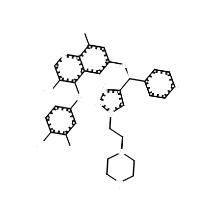 N#Cc1cnc2c(Cl)cc(N[C@@H](c3ccccc3)c3cn(CCN4CCOCC4)nn3)cc2c1Nc1ccc(F)c(Cl)c1